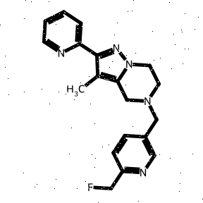 Cc1c(-c2ccccn2)nn2c1CN(Cc1ccc(CF)nc1)CC2